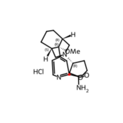 CO[C@@]1(c2ccnc(C(N)=O)c2)[C@@H]2CCC[C@H]1CN([C@@H]1CCOC1)C2.Cl